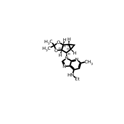 CCNc1cc(C)nc2c1ncn2[C@@H]1[C@H]2C[C@H]2[C@H]2OC(C)(C)O[C@H]21